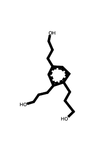 OCCCc1ccc(CCCO)c(CCCO)c1